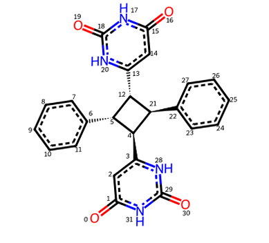 O=c1cc([C@H]2[C@H](c3ccccc3)[C@H](c3cc(=O)[nH]c(=O)[nH]3)[C@H]2c2ccccc2)[nH]c(=O)[nH]1